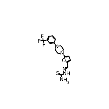 NC(=S)NN=Cc1ccc(N2CCN(c3cccc(C(F)(F)F)c3)CC2)o1